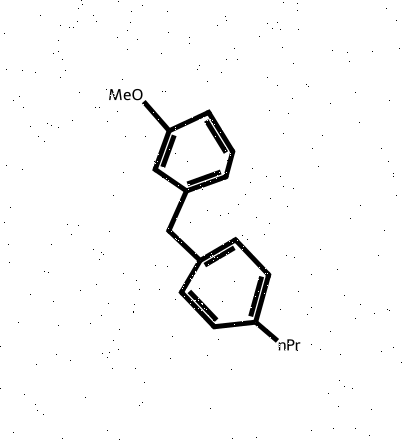 CCCc1ccc(Cc2cccc(OC)c2)cc1